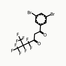 O=C(CC(=O)C(F)(F)C(F)(C(F)(F)F)C(F)(F)F)c1cc(Br)cc(Br)c1